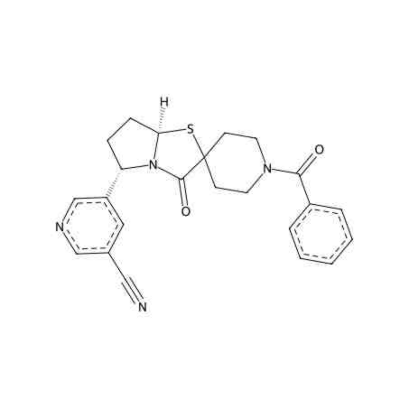 N#Cc1cncc([C@@H]2CC[C@H]3SC4(CCN(C(=O)c5ccccc5)CC4)C(=O)N32)c1